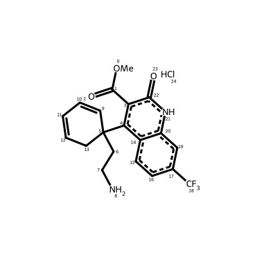 COC(=O)c1c(C2(CCN)C=CC=CC2)c2ccc(C(F)(F)F)cc2[nH]c1=O.Cl